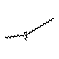 CCCCCCCCCCCCCCCCCCCN1C=CN(CCCCCCCCCCCC)C1CCC